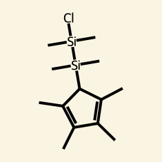 CC1=C(C)C([Si](C)(C)[Si](C)(C)Cl)C(C)=C1C